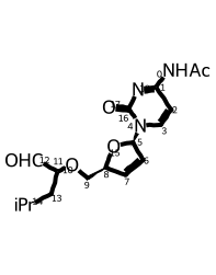 CC(=O)Nc1ccn([C@H]2C=C[C@@H](COC(C=O)CC(C)C)O2)c(=O)n1